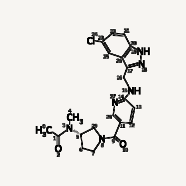 CC(=O)N(C)[C@H]1CCN(C(=O)c2ccc(NCc3n[nH]c4ccc(Cl)cc34)nc2)C1